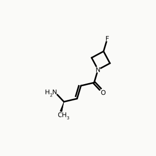 C[C@@H](N)/C=C/C(=O)N1CC(F)C1